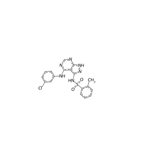 Cc1ccccc1S(=O)(=O)Nc1n[nH]c2ncnc(Nc3cccc(Cl)c3)c12